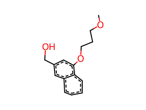 COCCCOc1cc(CO)cc2ccccc12